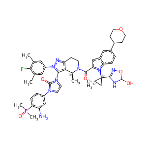 Cc1cc(-n2nc3c(c2-n2ccn(-c4ccc(P(C)(C)=O)c(N)c4)c2=O)[C@H](C)N(C(=O)c2cc4cc(C5CCOCC5)ccc4n2[C@@]2(C4=NOC(O)N4)C[C@@H]2C)CC3)cc(C)c1F